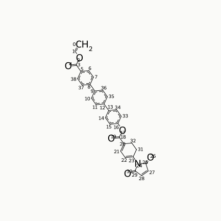 C=COC(=O)c1ccc(-c2ccc(-c3ccc(OC(=O)C4=CC=C(N5C(=O)C=CC5=O)CC4)cc3)cc2)cc1